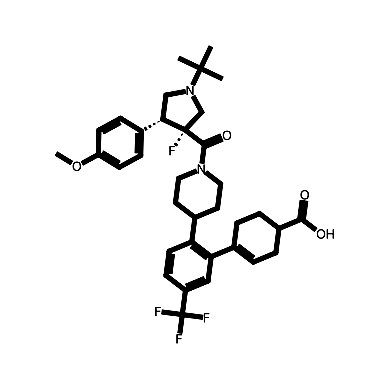 COc1ccc([C@@H]2CN(C(C)(C)C)C[C@@]2(F)C(=O)N2CCC(c3ccc(C(F)(F)F)cc3C3=CCC(C(=O)O)CC3)CC2)cc1